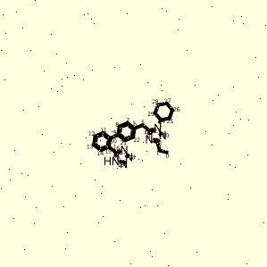 CCc1nc(Cc2ccc(-c3ccccc3-c3nnn[nH]3)cc2)n(C2CCCCC2)n1